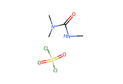 CNC(=O)N(C)C.O=S(=O)(Cl)Cl